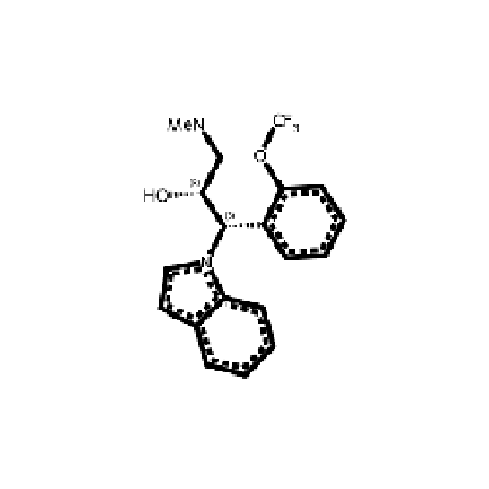 CNC[C@@H](O)[C@H](c1ccccc1OC(F)(F)F)n1ccc2ccccc21